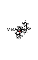 COc1ccc(C23Cn4cccc4C(=O)N2CCN3C(=O)c2conc2C)cn1